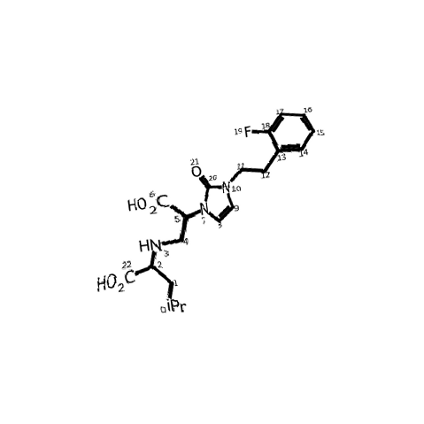 CC(C)CC(NCC(C(=O)O)n1ccn(CCc2ccccc2F)c1=O)C(=O)O